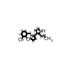 C/N=C/c1[nH]nnc1-c1cccn1Cc1cccc(Cl)c1Cl